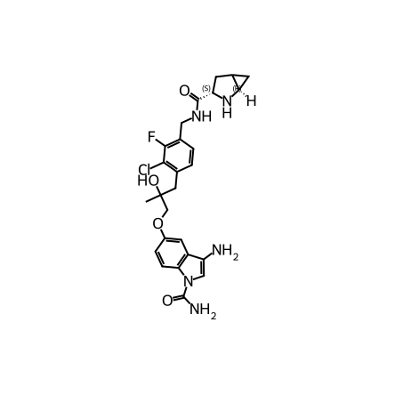 CC(O)(COc1ccc2c(c1)c(N)cn2C(N)=O)Cc1ccc(CNC(=O)[C@@H]2CC3C[C@H]3N2)c(F)c1Cl